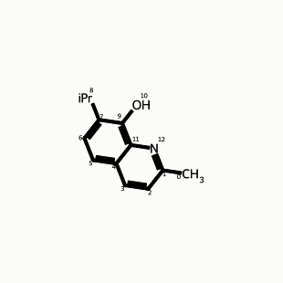 Cc1ccc2ccc(C(C)C)c(O)c2n1